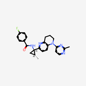 Cc1nccc(N2CCCc3nc([C@@]4(NC(=O)c5ccc(F)cc5)C[C@H]4C)ccc32)n1